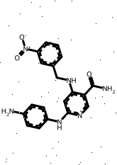 NC(=O)c1cnc(Nc2ccc(N)cc2)cc1NCc1cccc([N+](=O)[O-])c1